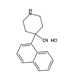 Cl.N#CC1(c2cccc3ccccc23)CCNCC1